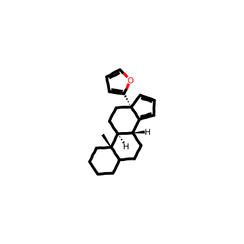 C[C@]12CCCCC1CC[C@H]1C3=CC=C[C@]3(c3ccco3)CC[C@@H]12